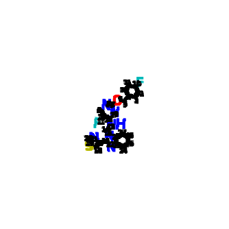 Fc1ccc(COc2ncc(F)c(NCn3c(-c4cscn4)nc4ccccc43)n2)cc1